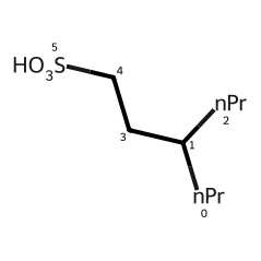 CCCC(CCC)CCS(=O)(=O)O